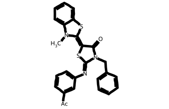 CC(=O)c1cccc(N=C2SC(=C3Sc4ccccc4N3C)C(=O)N2Cc2ccccc2)c1